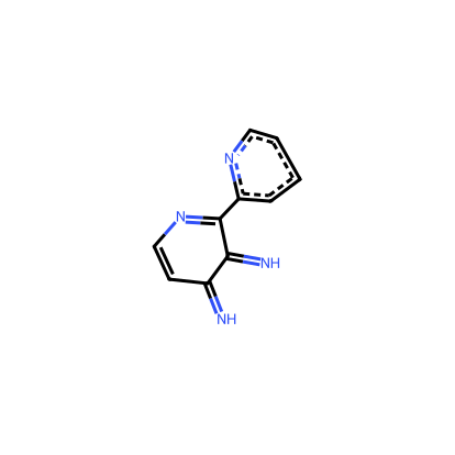 N=C1C=CN=C(c2ccccn2)C1=N